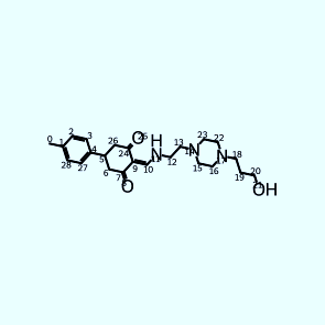 Cc1ccc(C2CC(=O)C(=CNCCN3CCN(CCCO)CC3)C(=O)C2)cc1